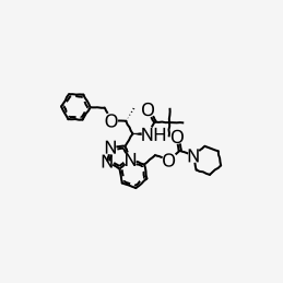 C[C@@H](OCc1ccccc1)[C@@H](NC(=O)C(C)(C)C)c1nnc2cccc(COC(=O)N3CCCCC3)n12